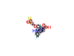 Cc1c(OCCOC[SH](=O)=O)ccc(F)c1[C@@H]1c2[nH]c3ccc(F)cc3c2C[C@@H](C)N1C[C@@H](C)C(=O)O